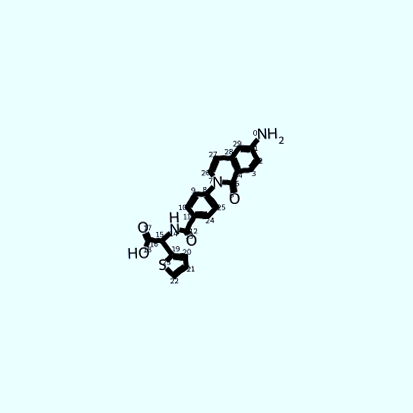 Nc1ccc2c(=O)n(-c3ccc(C(=O)NC(C(=O)O)c4cccs4)cc3)ccc2c1